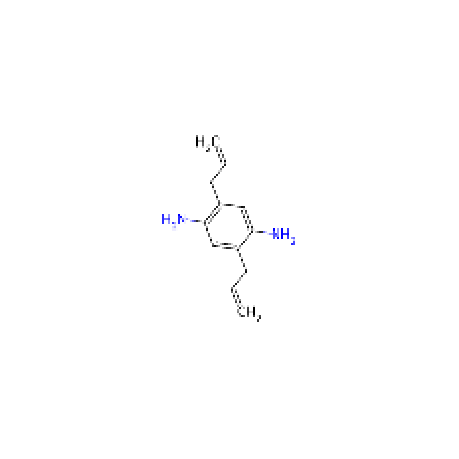 C=CCc1cc(N)c(CC=C)cc1N